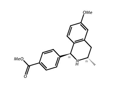 COC(=O)c1ccc([C@@H]2N[C@@H](C)Cc3cc(OC)ccc32)cc1